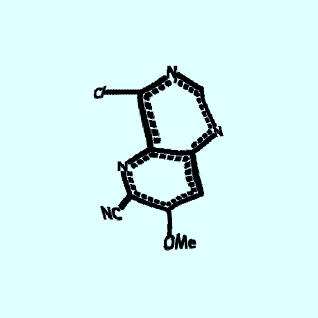 COc1cc2ncnc(Cl)c2nc1C#N